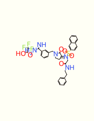 N=C(N)c1cccc(CN2CC[C@H](N(CC(=O)NCCc3ccccc3)S(=O)(=O)c3ccc4ccccc4c3)C2=O)c1.O=C(O)C(F)(F)F